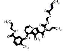 C/C=C/C(=O)OCOC(=O)N(CCC)C(=O)c1cn2ncnc(Nc3cc(C(=O)NCCC)ccc3C)c2c1C